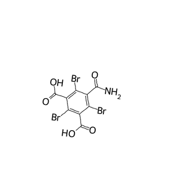 NC(=O)c1c(Br)c(C(=O)O)c(Br)c(C(=O)O)c1Br